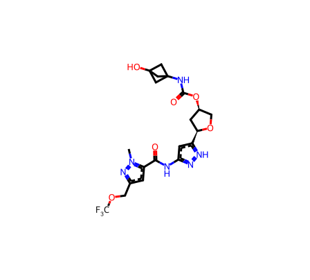 Cn1nc(COC(F)(F)F)cc1C(=O)Nc1cc([C@H]2C[C@@H](OC(=O)NC34CC(O)(C3)C4)CO2)[nH]n1